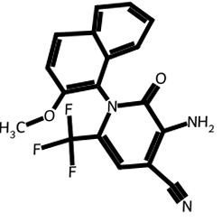 COc1ccc2ccccc2c1-n1c(C(F)(F)F)cc(C#N)c(N)c1=O